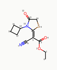 CCOC(=O)C(C#N)=C1SCC(=O)N1C1CCC1